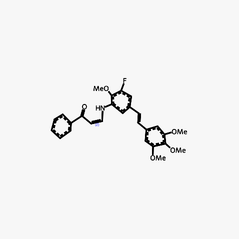 COc1cc(C=Cc2cc(F)c(OC)c(N/C=C\C(=O)c3ccccc3)c2)cc(OC)c1OC